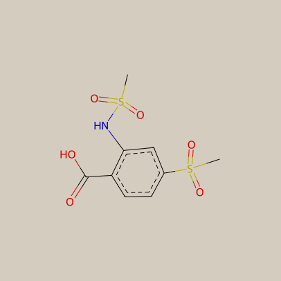 CS(=O)(=O)Nc1cc(S(C)(=O)=O)ccc1C(=O)O